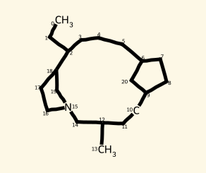 CCC1CCCC2CCC(CCC(C)CN3CCC1C3)C2